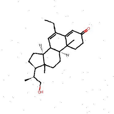 CCC1=CC2[C@H](CCC3(C)[C@@H]([C@H](C)CO)CC[C@@H]23)C2(C)CCC(=O)C=C12